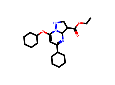 CCOC(=O)C1CNN2C(OC3CCCCC3)=CC(C3CCCCC3)=NC12